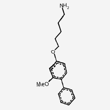 COc1cc(OCCCCCN)ccc1-c1ccccc1